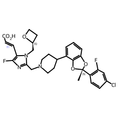 C[C@]1(c2ccc(Cl)cc2F)Oc2cccc(C3CCN(Cc4nc(F)c(/C=C/C(=O)O)n4C[C@@H]4CCO4)CC3)c2O1